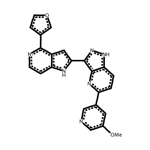 COc1cncc(-c2ccc3[nH]nc(-c4cc5c(-c6ccoc6)nccc5[nH]4)c3n2)c1